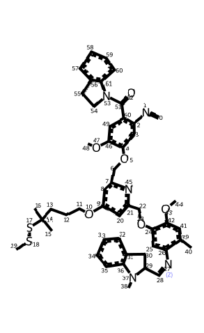 C=Nc1cc(OCc2cc(OCCCC(C)(C)SSC)cc(COc3cc(/N=C\C4Cc5ccccc5N4C)c(C)cc3OC)n2)c(OC)cc1C(=O)N1CCc2ccccc21